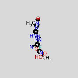 C[C@H](O)C(=O)N1CC[C@H](Oc2ccc(-c3ncnc(Nc4ccc(N5CCN(C6COC6)[C@@H](C)C5)cc4)n3)cc2C#N)[C@H](F)C1